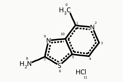 Cc1nccc2sc(N)nc12.Cl